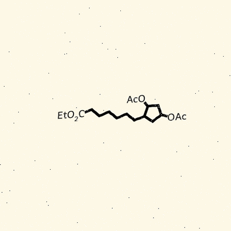 CCOC(=O)CCCCCCC1CC(OC(C)=O)CC1OC(C)=O